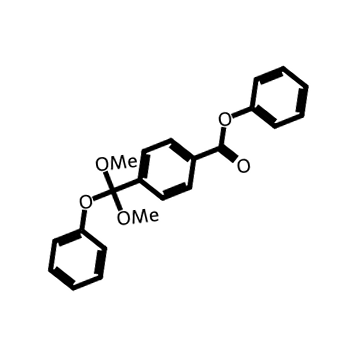 COC(OC)(Oc1ccccc1)c1ccc(C(=O)Oc2ccccc2)cc1